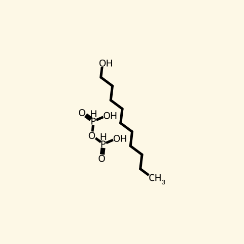 CCCCCCCCCCO.O=[PH](O)O[PH](=O)O